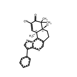 [C-]#[N+]C1=C[C@]2(C)c3c(cnc4c(-c5ccccc5)cnn34)CC[C@H]2C(C)(C)C1=O